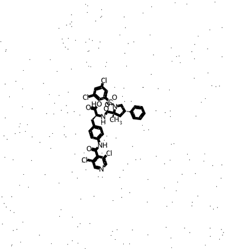 C[C@]1(C(=O)N[C@@H](Cc2ccc(NC(=O)c3c(Cl)cncc3Cl)cc2)C(=O)O)C[C@@H](c2ccccc2)CN1S(=O)(=O)c1cc(Cl)cc(Cl)c1